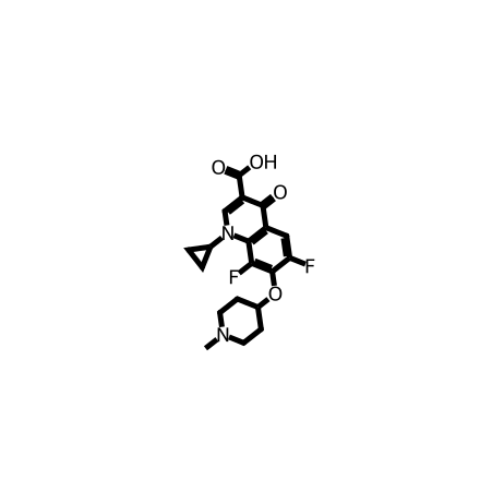 CN1CCC(Oc2c(F)cc3c(=O)c(C(=O)O)cn(C4CC4)c3c2F)CC1